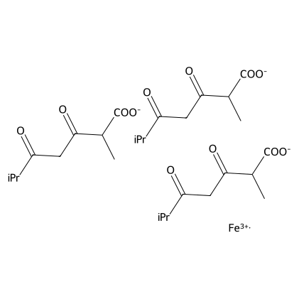 CC(C)C(=O)CC(=O)C(C)C(=O)[O-].CC(C)C(=O)CC(=O)C(C)C(=O)[O-].CC(C)C(=O)CC(=O)C(C)C(=O)[O-].[Fe+3]